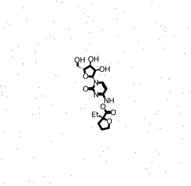 CC[C@]1(C(=O)ONc2ccn([C@@H]3O[C@H](CO)[C@@H](O)[C@H]3O)c(=O)n2)CCCO1